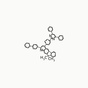 CC1(C)c2ccccc2-c2cc3c(-c4ccc(-c5nc(-c6ccccc6)cc(-c6ccccc6)n5)cc4)cc(-c4ccc(-c5ccccc5)cc4)nc3cc21